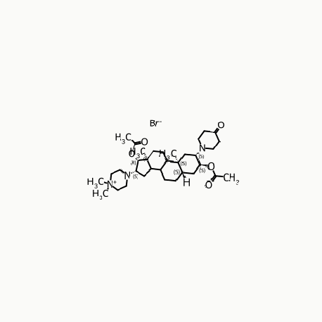 CC(=O)O[C@H]1C[C@@H]2CCC3C4C[C@H](N5CC[N+](C)(C)CC5)[C@H](OC(C)=O)[C@@]4(C)CCC3[C@@]2(C)C[C@@H]1N1CCC(=O)CC1.[Br-]